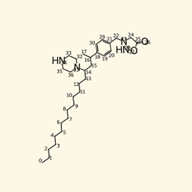 CCCCCCCCCCCCCCC(CC(C)c1ccc(CN2CC(=O)ON2)cc1)N1CCNCC1